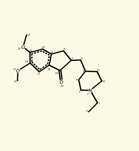 CCN1CCC(CC2Cc3cc(OC)c(OC)cc3C2=O)CC1